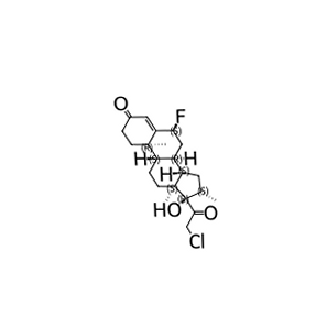 C[C@H]1C[C@H]2[C@@H]3C[C@H](F)C4=CC(=O)CC[C@]4(C)[C@H]3CC[C@]2(C)[C@@]1(O)C(=O)CCl